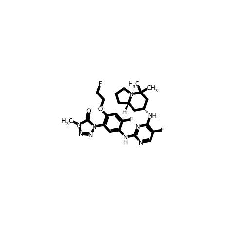 Cn1nnn(-c2cc(Nc3ncc(F)c(N[C@@H]4C[C@@H]5CCCN5C(C)(C)C4)n3)c(F)cc2OCCF)c1=O